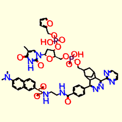 Cc1cn([C@H]2C[C@@H](OP(=O)(O)OCc3ccco3)[C@@H](COP(=O)(O)OCC3CC4CC3C3C(c5ccc(C(=O)NCCNS(=O)(=O)c6ccc7cc(N(C)C)ccc7c6)cc5)=NN=C(c5ncccn5)C43)O2)c(=O)[nH]c1=O